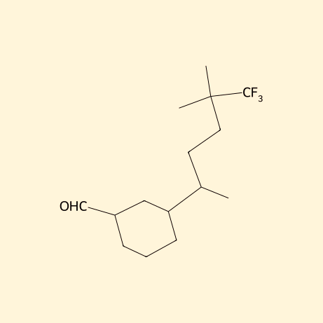 CC(CCC(C)(C)C(F)(F)F)C1CCCC(C=O)C1